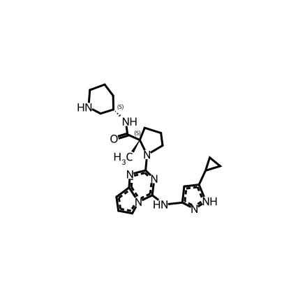 C[C@@]1(C(=O)N[C@H]2CCCNC2)CCCN1c1nc(Nc2cc(C3CC3)[nH]n2)n2cccc2n1